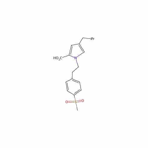 CC(C)Cc1cc(C(=O)O)n(CCc2ccc(S(C)(=O)=O)cc2)c1